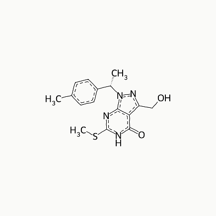 CSc1nc2c(c(CO)nn2[C@@H](C)c2ccc(C)cc2)c(=O)[nH]1